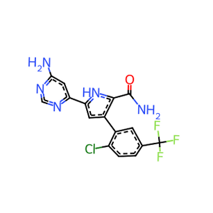 NC(=O)c1[nH]c(-c2cc(N)ncn2)cc1-c1cc(C(F)(F)F)ccc1Cl